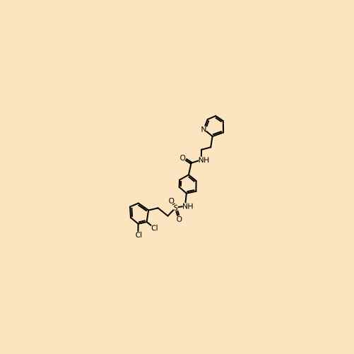 O=C(NCCc1ccccn1)c1ccc(NS(=O)(=O)CCc2cccc(Cl)c2Cl)cc1